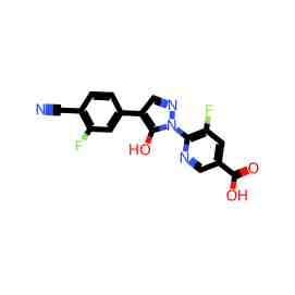 N#Cc1ccc(-c2cnn(-c3ncc(C(=O)O)cc3F)c2O)cc1F